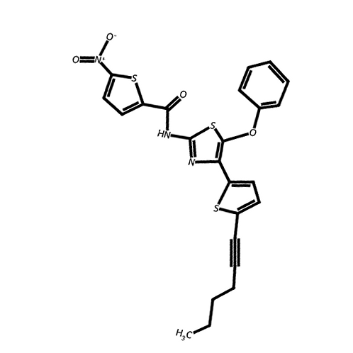 CCCCC#Cc1ccc(-c2nc(NC(=O)c3ccc([N+](=O)[O-])s3)sc2Oc2ccccc2)s1